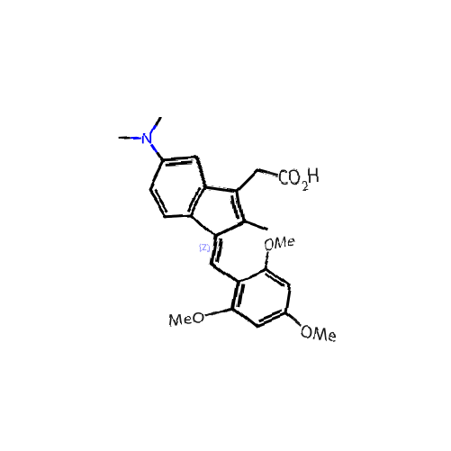 COc1cc(OC)c(/C=C2\C(C)=C(CC(=O)O)c3cc(N(C)C)ccc32)c(OC)c1